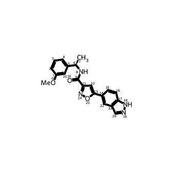 COc1cccc([C@@H](C)NC(=O)c2cc(-c3ccc4[nH]ncc4c3)on2)c1